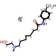 CN(CCO)CCCCCCCC(=O)Nc1ccc(C(=O)O)cc1.[Cl-].[H+]